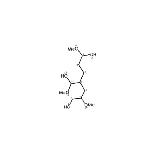 COC(O)CCC(CC(CO)OC)C(O)OC